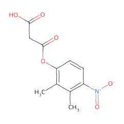 Cc1c(OC(=O)CC(=O)O)ccc([N+](=O)[O-])c1C